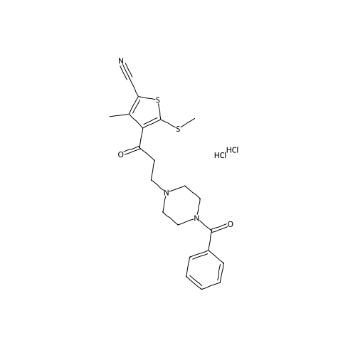 CSc1sc(C#N)c(C)c1C(=O)CCN1CCN(C(=O)c2ccccc2)CC1.Cl.Cl